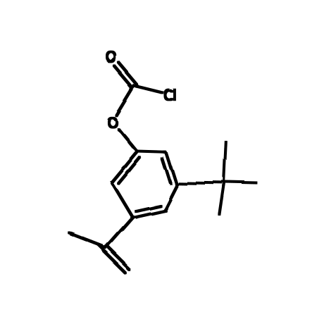 C=C(C)c1cc(OC(=O)Cl)cc(C(C)(C)C)c1